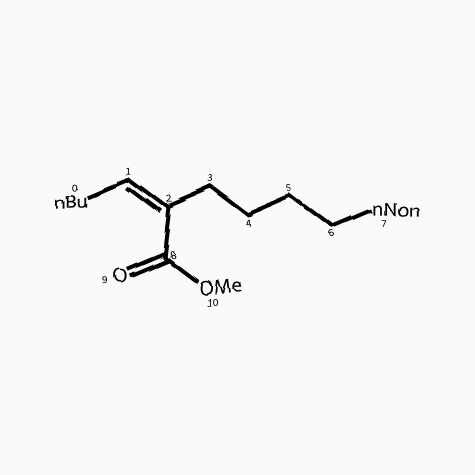 CCCCC=C(CCCCCCCCCCCCC)C(=O)OC